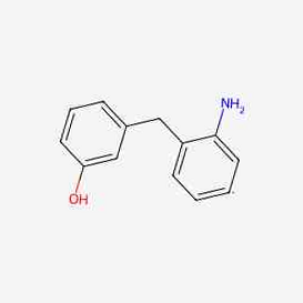 Nc1c[c]ccc1Cc1cccc(O)c1